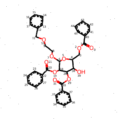 O=C(OCC1OC(OCCOCc2ccccc2)C(OC(=O)c2ccccc2)C(OC(=O)c2ccccc2)C1O)c1ccccc1